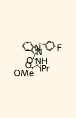 COC(=O)C(NC(=O)c1nn(Cc2ccc(F)cc2)c2ccccc12)C(C)C